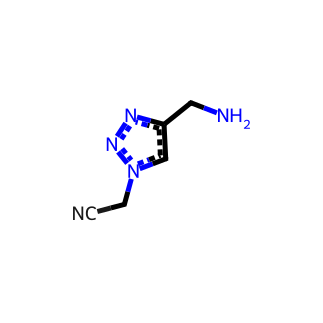 N#CCn1cc(CN)nn1